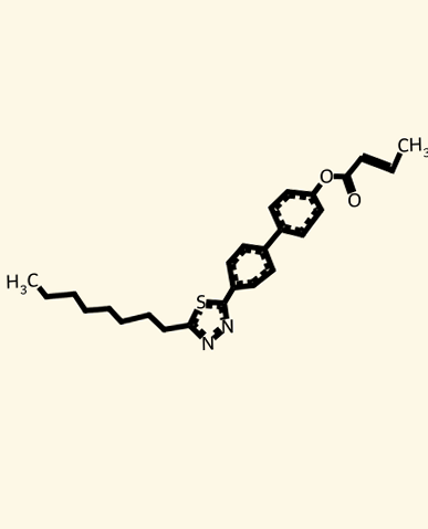 CC=CC(=O)Oc1ccc(-c2ccc(-c3nnc(CCCCCCCC)s3)cc2)cc1